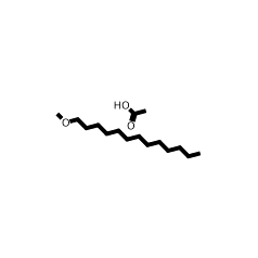 CC(=O)O.CCCCCCCCCCCCCOC